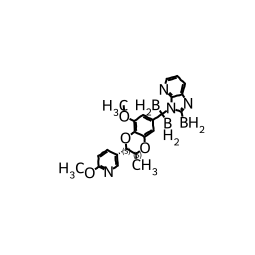 Bc1nc2cccnc2n1C(B)(B)c1cc(OC)c2c(c1)O[C@@H](C)[C@H](c1ccc(OC)nc1)O2